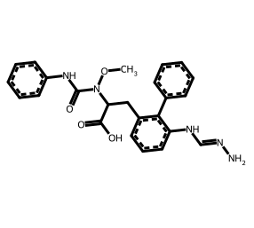 CON(C(=O)Nc1ccccc1)C(Cc1cccc(NC=NN)c1-c1ccccc1)C(=O)O